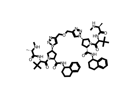 CN[C@@H](C)C(=O)N[C@H](C(=O)N1C[C@@H](n2cc(COCc3cn([C@H]4C[C@@H](C(=O)N[C@@H]5CCCc6ccccc65)N(C(=O)[C@@H](NC(=O)[C@H](C)NC)C(C)(C)C)C4)nn3)nn2)C[C@H]1C(=O)N[C@@H]1CCCc2ccccc21)C(C)(C)C